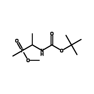 COP(C)(=O)C(C)NC(=O)OC(C)(C)C